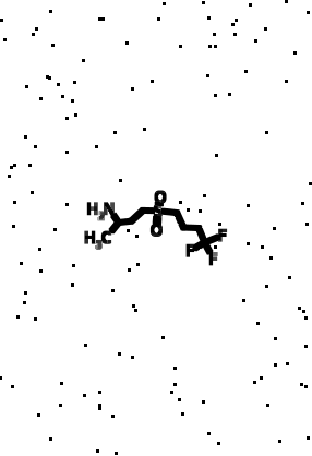 CC(N)CCS(=O)(=O)CCCC(F)(F)F